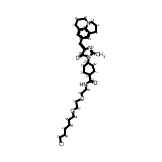 CC1=N/C(=C\c2cc3c4c(c2)CCCN4CCC3)C(=O)N1C1CCC(C(=O)NCCOCCOCCCCCCCl)CC1